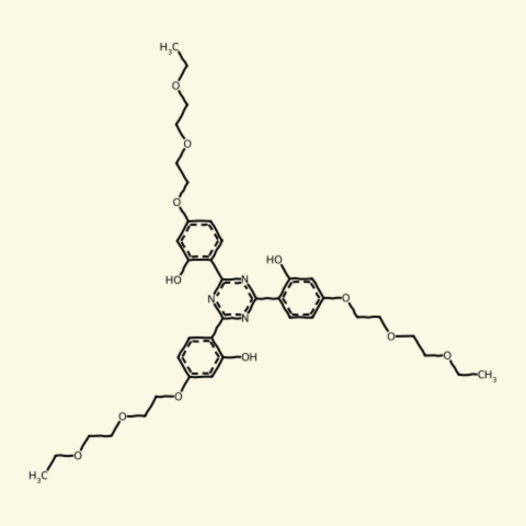 CCOCCOCCOc1ccc(-c2nc(-c3ccc(OCCOCCOCC)cc3O)nc(-c3ccc(OCCOCCOCC)cc3O)n2)c(O)c1